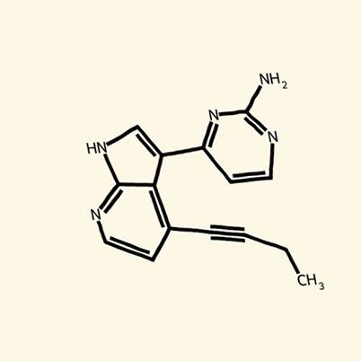 CCC#Cc1ccnc2[nH]cc(-c3ccnc(N)n3)c12